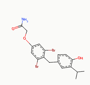 CC(C)c1cc(Cc2c(Br)cc(OCC(N)=O)cc2Br)ccc1O